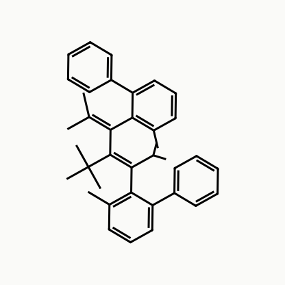 CC(C)=C(/C(=C(/c1c(C)cccc1-c1ccccc1)C(C)C)C(C)(C)C)c1c(C)cccc1-c1ccccc1